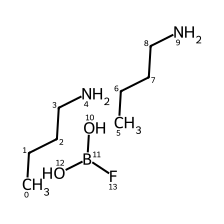 CCCCN.CCCCN.OB(O)F